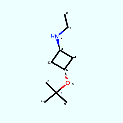 CCN[C@H]1C[C@H](OC(C)(C)C)C1